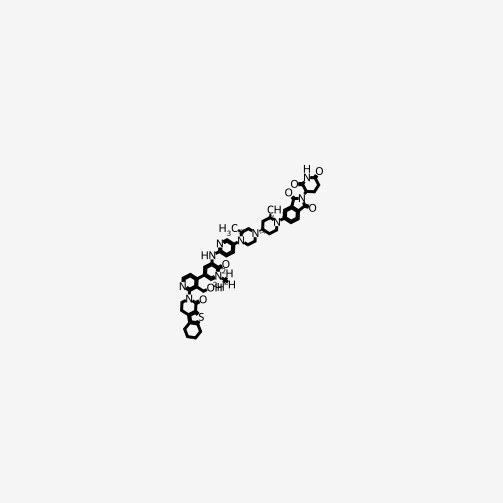 [2H]C([2H])([2H])n1cc(-c2ccnc(N3CCc4c(sc5c4CCCC5)C3=O)c2CO)cc(Nc2ccc(N3CCN([C@H]4CCN(c5ccc6c(c5)C(=O)N(C5CCC(=O)NC5=O)C6=O)[C@H](C)C4)C[C@@H]3C)cn2)c1=O